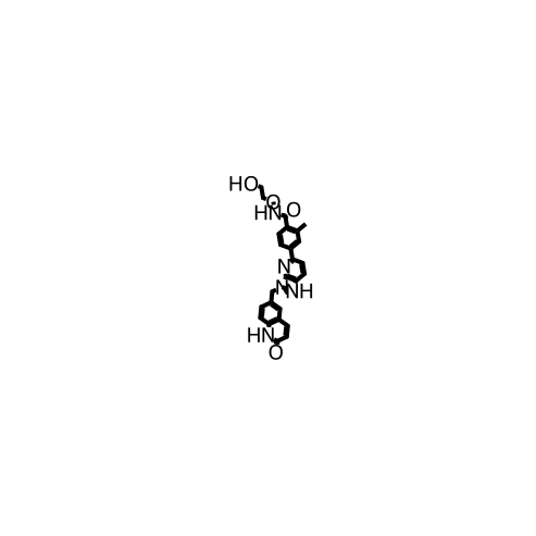 Cc1cc(-c2ccc3[nH]n(Cc4ccc5[nH]c(=O)ccc5c4)c3n2)ccc1C(=O)NOCCO